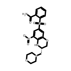 NC(=O)c1ccccc1S(=O)(=O)c1cc2c(c([N+](=O)[O-])c1)N[C@@H](CN1CCOCC1)CO2